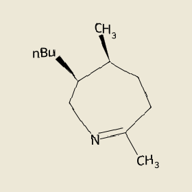 CCCC[C@@H]1CN=C(C)CC[C@@H]1C